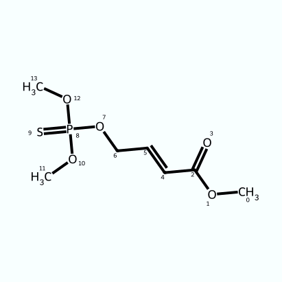 COC(=O)C=CCOP(=S)(OC)OC